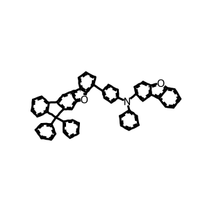 c1ccc(N(c2ccc(-c3cccc4c3oc3cc5c(cc34)-c3ccccc3C5(c3ccccc3)c3ccccc3)cc2)c2ccc3oc4ccccc4c3c2)cc1